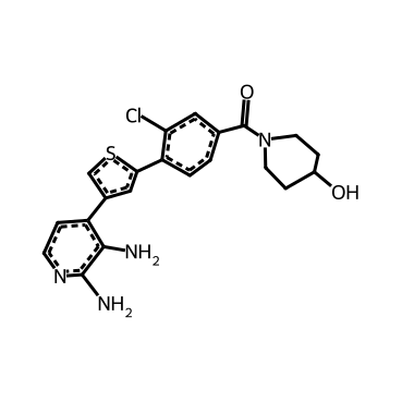 Nc1nccc(-c2csc(-c3ccc(C(=O)N4CCC(O)CC4)cc3Cl)c2)c1N